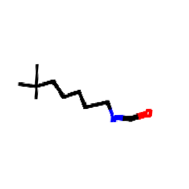 CC(C)(C)CCCCCN=C=O